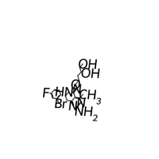 Cc1nc(N)nc2c1/C(=N/OCC[C@H](O)CO)N[C@@H](c1ccc(F)cc1Br)C2